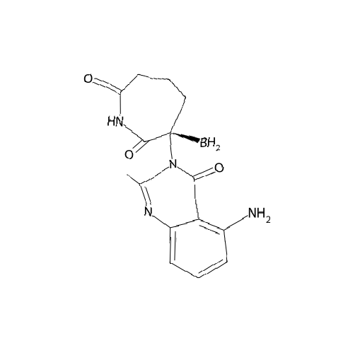 B[C@]1(n2c(C)nc3cccc(N)c3c2=O)CCCC(=O)NC1=O